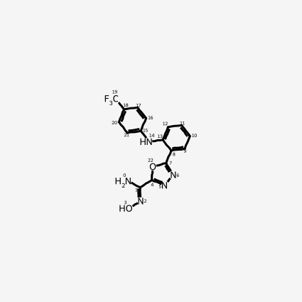 N/C(=N\O)c1nnc(-c2ccccc2Nc2ccc(C(F)(F)F)cc2)o1